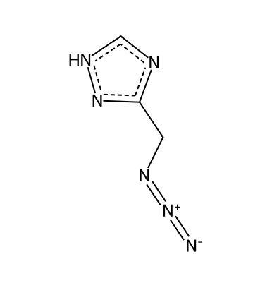 [N-]=[N+]=NCc1nc[nH]n1